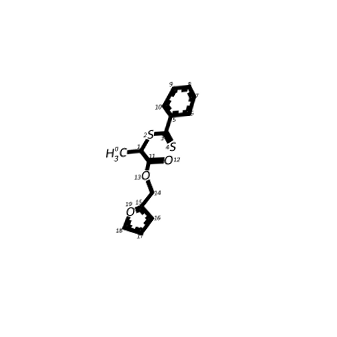 CC(SC(=S)c1ccccc1)C(=O)OCc1ccco1